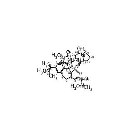 C=C(c1ccc2c(c1)CCc1cc(C(=O)N(C)C)ccc1C2(CCNCC(=C)N1CCCC1C#N)c1nn(C)c(=O)[nH]1)N(C)C